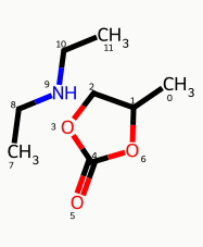 CC1COC(=O)O1.CCNCC